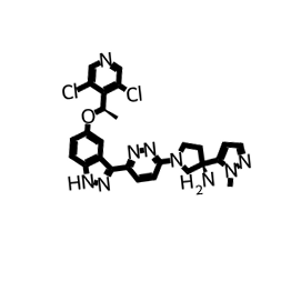 C[C@@H](Oc1ccc2[nH]nc(-c3ccc(N4CC[C@](N)(c5ccnn5C)C4)nn3)c2c1)c1c(Cl)cncc1Cl